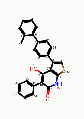 Cc1ccccc1-c1ccc(-c2csc3[nH]c(=O)c(-c4ccccc4)c(O)c23)cc1